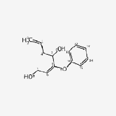 C=CCC(O)C(=CCO)Oc1ccccc1